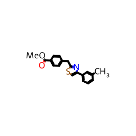 COC(=O)c1ccc(Cc2nc(-c3cccc(C)c3)cs2)cc1